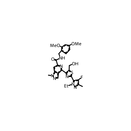 CCn1nc(C)c(F)c1-c1nc(-c2nc(C(=O)NCc3ccc(OC)cc3OC)cc3c2cnn3C)c(CO)s1